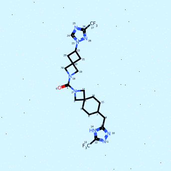 O=C(N1CC2(CCC(Cc3nnc(C(F)(F)F)[nH]3)CC2)C1)N1CC2(CC(n3cnc(C(F)(F)F)n3)C2)C1